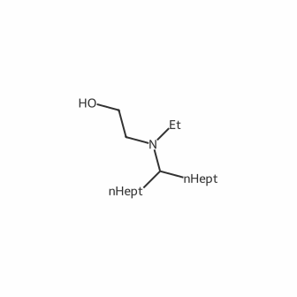 CCCCCCCC(CCCCCCC)N(CC)CCO